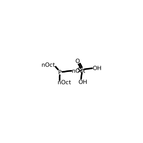 CCCCCCCCP(CCCCCCCC)CCCCCCCC.O=[Se](O)O